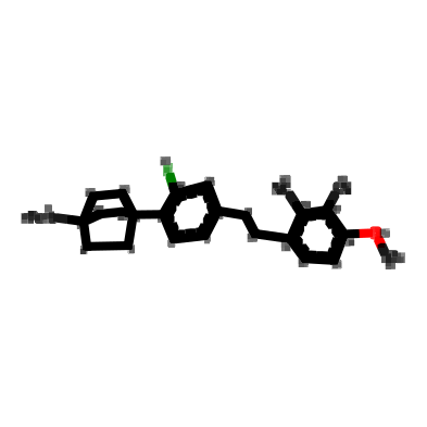 CCCCCC12CCC(c3ccc(CCc4ccc(OCCCC)c(C#N)c4C#N)cc3F)(CC1)CC2